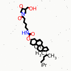 CC(C)CCCC(C)[C@H]1CCC2C3CC=C4C[C@@H](OC(=O)NCCCCCC(=O)N5CC(=O)C(CO)C5)CC[C@]4(C)C3CC[C@@]21C